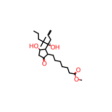 C=CC[C@](O)(C1C(O)CC(=O)C1CCCCCCC(=O)OC)C(C)(C)CCC